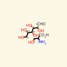 NC(CO)C(=O)O.O=C[C@H](O)[C@@H](O)[C@@H](O)[C@H](O)CO